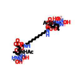 CB(O)/N=C(/NB(C)O)N[C@H]1C=C(C)O[C@@H]([C@H](OC(=O)NCCCCCCCCCCCCCNC(=O)O[C@@H]([C@@H]2OC(C)=C[C@H](N/C(=N\B(C)O)NB(C)O)[C@H]2NC(C)=O)[C@H]2COC(=O)O2)[C@H]2COC(=O)O2)[C@@H]1NC(C)=O